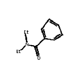 [CH2]CN(C[CH2])C(=O)c1ccccc1